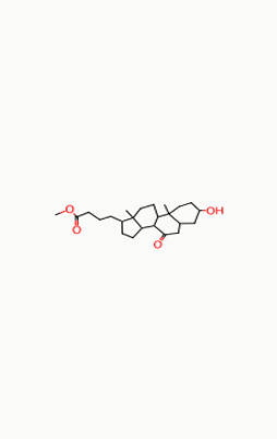 COC(=O)CCCC1CCC2C3C(=O)CC4CC(O)CCC4(C)C3CCC12C